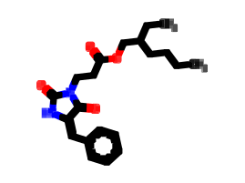 CCCCC(CC)COC(=O)CCN1C(=O)N/C(=C/c2ccccc2)C1=O